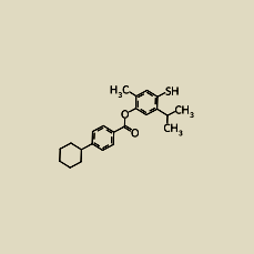 Cc1cc(S)c(C(C)C)cc1OC(=O)c1ccc(C2CCCCC2)cc1